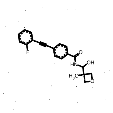 CC1(C(O)NC(=O)c2ccc(C#Cc3ccccc3F)cc2)COC1